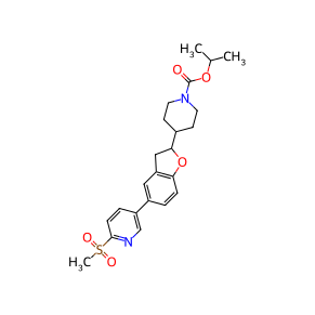 CC(C)OC(=O)N1CCC(C2Cc3cc(-c4ccc(S(C)(=O)=O)nc4)ccc3O2)CC1